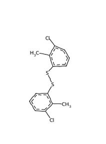 Cc1c(Cl)cccc1SSc1cccc(Cl)c1C